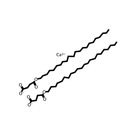 CCCCCCCCCCCCCCCCCCCCCCOC(=O)CCC(=O)[O-].CCCCCCCCCCCCCCCCCCCCCCOC(=O)CCC(=O)[O-].[Ca+2]